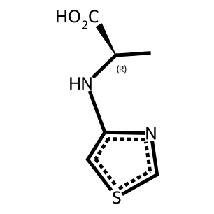 C[C@@H](Nc1cscn1)C(=O)O